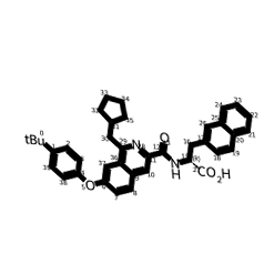 CC(C)(C)c1ccc(Oc2ccc3cc(C(=O)N[C@H](Cc4ccc5ccccc5c4)C(=O)O)nc(CC4CCCC4)c3c2)cc1